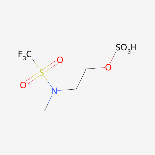 CN(CCOS(=O)(=O)O)S(=O)(=O)C(F)(F)F